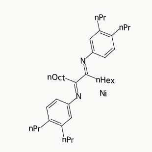 CCCCCCCCC(=N\c1ccc(CCC)c(CCC)c1)/C(CCCCCC)=N/c1ccc(CCC)c(CCC)c1.[Ni]